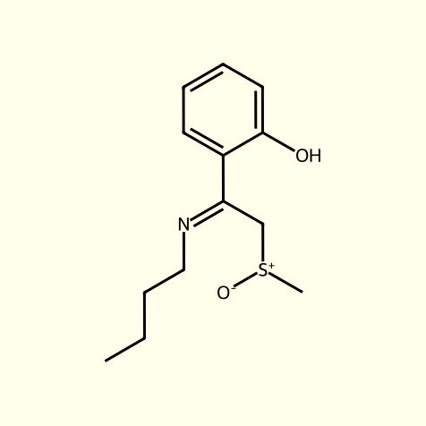 CCCC/N=C(\C[S+](C)[O-])c1ccccc1O